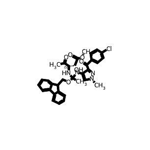 COC(=O)C[C@H](NC(C)(OCC1c2ccccc2-c2ccccc21)N(O)c1cn(C)nc1C(=O)c1ccc(Cl)cc1)C(C)=O